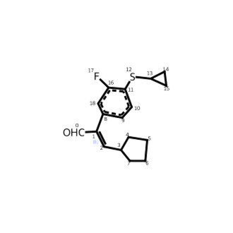 O=C/C(=C/C1CCCC1)c1ccc(SC2CC2)c(F)c1